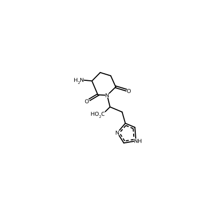 NC1CCC(=O)N(C(Cc2c[nH]cn2)C(=O)O)C1=O